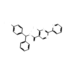 [CH2]c1ccc(C(NC(=O)c2cnc(-c3ccccn3)nc2O)c2ccccc2)cc1